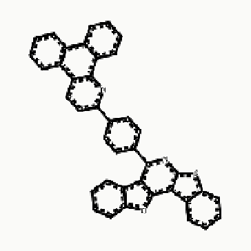 c1ccc2c(c1)oc1c2c(-c2ccc(-c3ccc4c5ccccc5c5ccccc5c4n3)cc2)nc2sc3ccccc3c21